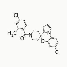 Cc1cc(Cl)ccc1C(=O)N1CCC2(CC1)Oc1cc(Cl)ccc1-n1cccc12